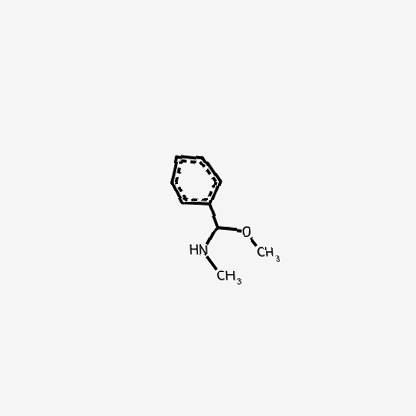 CNC(OC)c1ccccc1